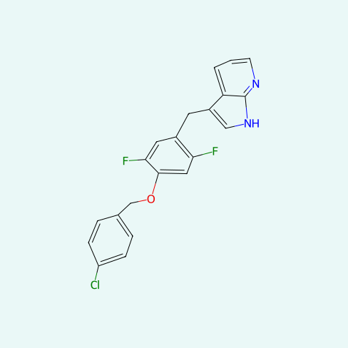 Fc1cc(OCc2ccc(Cl)cc2)c(F)cc1Cc1c[nH]c2ncccc12